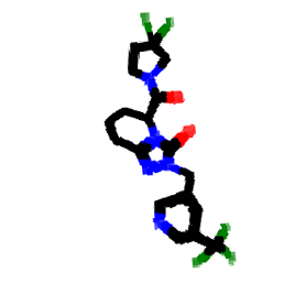 O=C([C@@H]1CCCc2nn(Cc3cncc(C(F)(F)F)c3)c(=O)n21)N1CCC(F)(F)C1